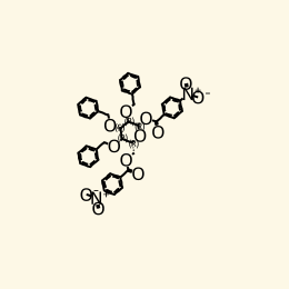 O=C(OC[C@H]1O[C@H](OC(=O)c2ccc([N+](=O)[O-])cc2)[C@H](OCc2ccccc2)[C@@H](OCc2ccccc2)[C@@H]1OCc1ccccc1)c1ccc([N+](=O)[O-])cc1